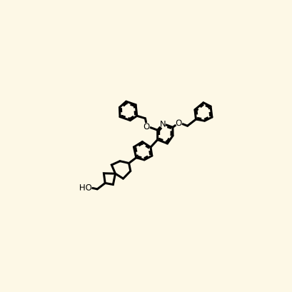 OCC1CC2(CCC(c3ccc(-c4ccc(OCc5ccccc5)nc4OCc4ccccc4)cc3)CC2)C1